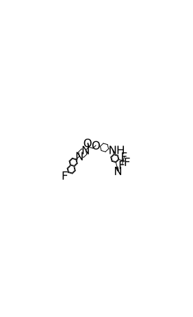 N#Cc1ccc(N[C@H]2CC[C@H](OCC(=O)N3CCN(c4ccc5cc(F)ccc5c4)CC3)CC2)cc1C(F)(F)F